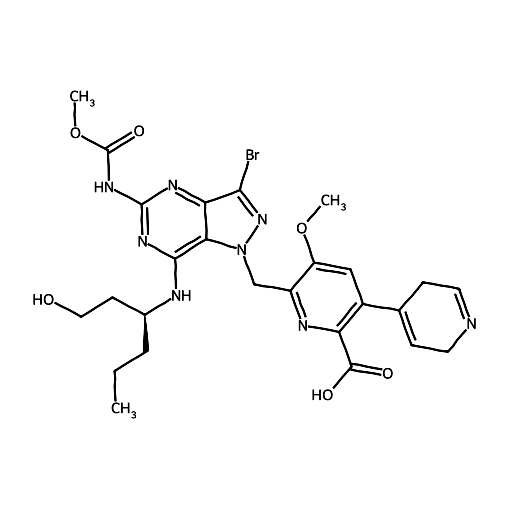 CCC[C@@H](CCO)Nc1nc(NC(=O)OC)nc2c(Br)nn(Cc3nc(C(=O)O)c(C4=CCN=CC4)cc3OC)c12